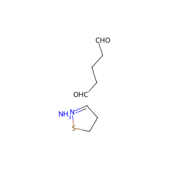 C1=NSCC1.N.O=CCCCC=O